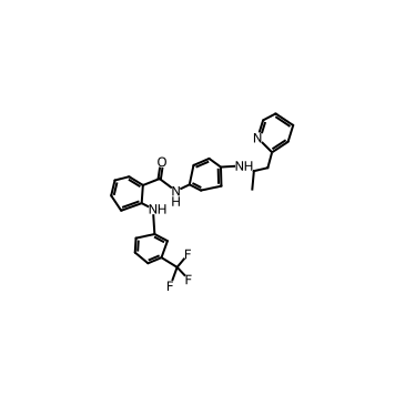 CC(Cc1ccccn1)Nc1ccc(NC(=O)c2ccccc2Nc2cccc(C(F)(F)F)c2)cc1